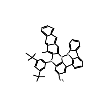 Cc1c2c(cc3cc4ccccc4cc13)B1c3c(cc(N)cc3N2c2cc(C(C)(C)C)cc(C(C)(C)C)c2)-c2cccc3c4ccccc4n1c23